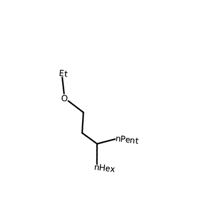 CCCCCCC(CCCCC)CCOCC